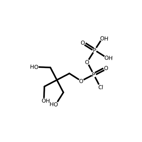 O=P(O)(O)OP(=O)(Cl)OCC(CO)(CO)CO